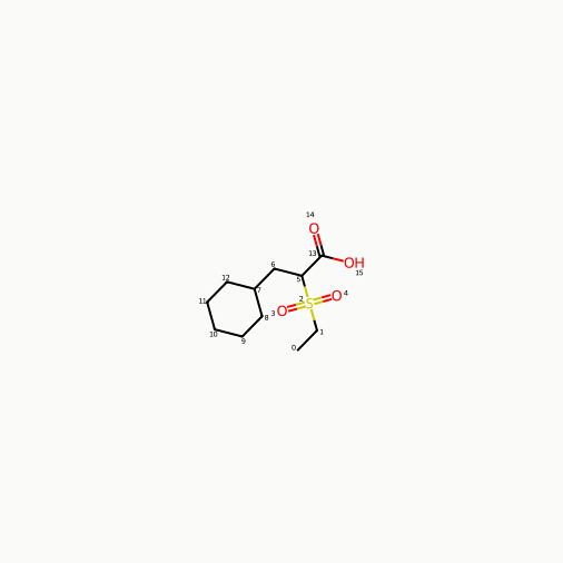 CCS(=O)(=O)C(CC1CCCCC1)C(=O)O